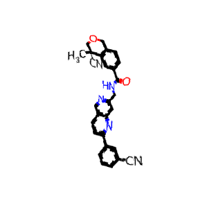 C[C@@]1(C#N)COCc2ccc(C(=O)NCc3cc4nc(-c5cccc(C#N)c5)ccc4cn3)cc21